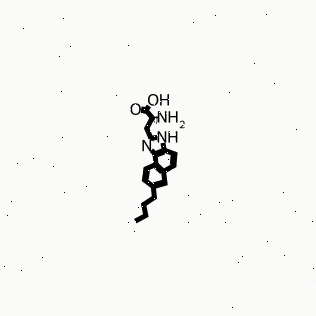 CCCCc1ccc2c(ccc3[nH]c(C[C@@H](N)C(=O)O)nc32)c1